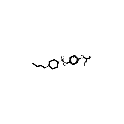 CCCC[C@H]1CC[C@H](C(=O)Oc2ccc(OC(F)F)cc2)CC1